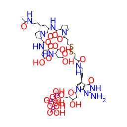 CC(=O)NCCCCC(NC(=O)C1CCCN1C(=O)CCSSCCC(=O)NCC#Cc1cn(C2CC(O)C(COP(=O)(O)OP(=O)(O)OP(=O)(O)O)O2)c2nc(N)[nH]c(=O)c12)C(=O)N1CCCC1C(=O)NC(CC(=O)O)C(=O)NC(CC(=O)O)C(=O)O